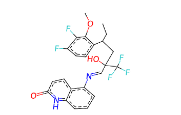 CCC(CC(O)(/C=N/c1cccc2[nH]c(=O)ccc12)C(F)(F)F)c1ccc(F)c(F)c1OC